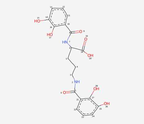 O=C(NCCCC(NC(=O)c1cccc(O)c1O)C(=O)O)c1cccc(O)c1O